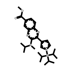 COC(=O)c1ccc2nc(-c3ccn([Si](C(C)C)(C(C)C)C(C)C)c3)c(N(C)C(C)C)nc2c1